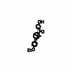 CCOc1ccc(N2CC3CN(C(=O)N4CCC(O)C4)CC2C(C)(C)C3)cc1